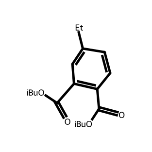 CCc1ccc(C(=O)OCC(C)C)c(C(=O)OCC(C)C)c1